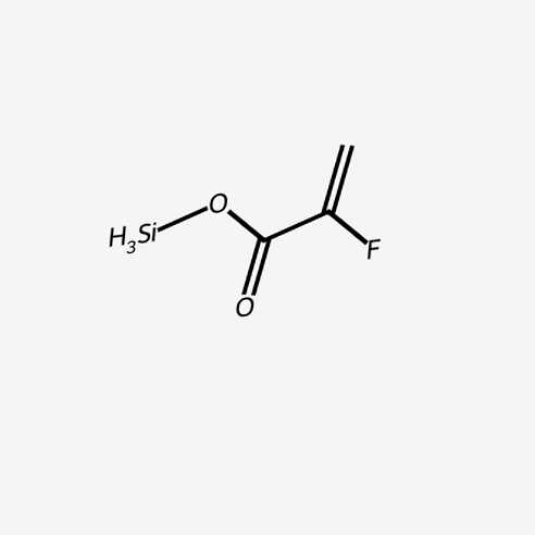 C=C(F)C(=O)O[SiH3]